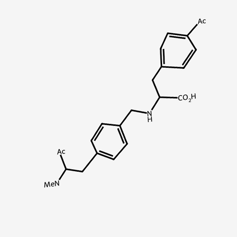 CNC(Cc1ccc(CNC(Cc2ccc(C(C)=O)cc2)C(=O)O)cc1)C(C)=O